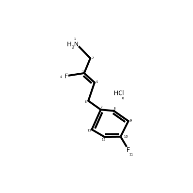 Cl.NCC(F)=CCc1ccc(F)cc1